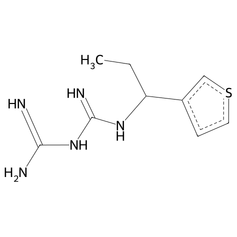 CCC(NC(=N)NC(=N)N)c1ccsc1